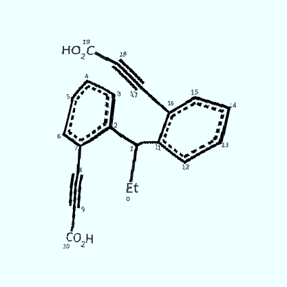 CCC(c1ccccc1C#CC(=O)O)c1ccccc1C#CC(=O)O